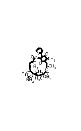 CC1=C2C[C@@H](C)C[C@H](C)[C@H](O)[C@@H](C)/C=C(\C)[C@H](OC(N)=O)[C@@H](C)/C=C\C=C(/C)C(=O)NC(=C(c3ccccn3)C1=O)C2=O